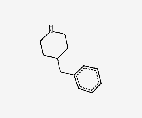 [CH](c1ccccc1)C1CCNCC1